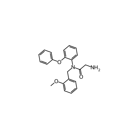 COc1ccccc1CN(C(=O)CN)c1ccccc1Oc1ccccc1